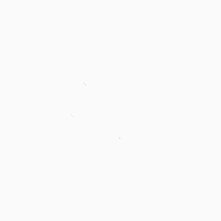 COc1ccc2ncc(C#N)c(Nc3ccc(Cl)cc3F)c2c1